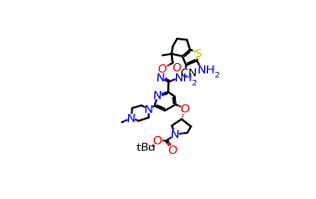 CN1CCN(c2cc(O[C@@H]3CCN(C(=O)OC(C)(C)C)C3)cc(/C(N)=N/OC(=O)C3(C)CCCc4sc(N)c(C#N)c43)n2)CC1